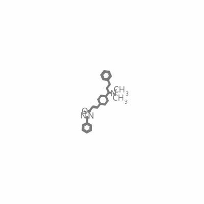 CN(C)C(CCc1ccccc1)C1CCC(C=Cc2nc(-c3ccccc3)no2)CC1